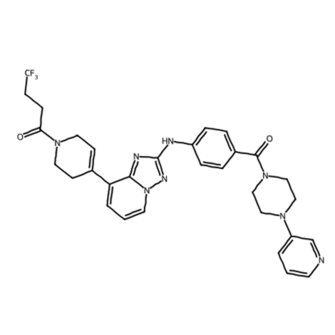 O=C(CCC(F)(F)F)N1CC=C(c2cccn3nc(Nc4ccc(C(=O)N5CCN(c6cccnc6)CC5)cc4)nc23)CC1